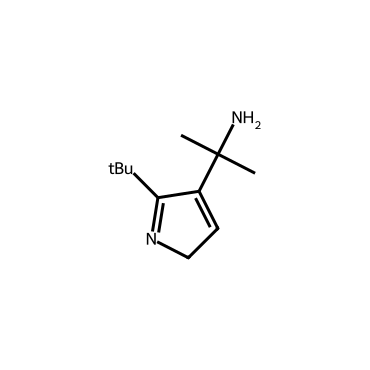 CC(C)(C)C1=NCC=C1C(C)(C)N